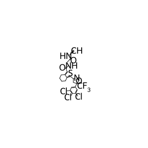 C#CNC(=O)CNC(=O)c1sc(C2=NO[C@@](c3cc(Cl)c(Cl)c(Cl)c3)(C(F)(F)F)C2)c2c1CCCC2